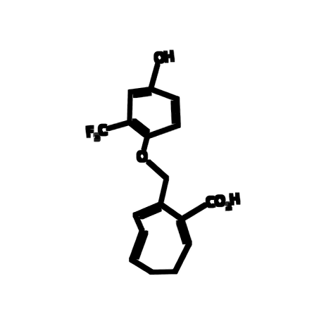 O=C(O)C1=C/CC/C=C/C=C\1COc1ccc(O)cc1C(F)(F)F